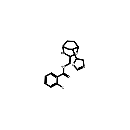 O=C(NCC1NC2CCC(O1)C(C1CN=CS1)C2)c1ccccc1Cl